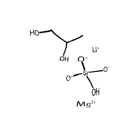 CC(O)CO.[Li+].[Mg+2].[O-][Si]([O-])([O-])O